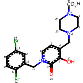 O=C(O)N1CCN(Cc2ccn(Cc3cc(Br)ccc3Br)c(=O)c2O)CC1